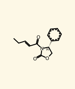 CCC=CC(=O)N1C(=O)OC[C@H]1c1ccccc1